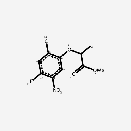 COC(=O)C(C)Oc1cc([N+](=O)[O-])c(F)cc1Cl